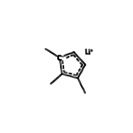 Cc1cc[c-](C)c1C.[Li+]